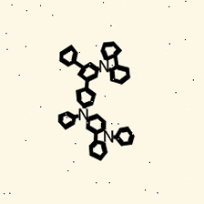 c1ccc(-c2cc(-c3ccc(N(c4ccccc4)c4ccc5c(c4)c4ccccc4n5-c4ccccc4)cc3)cc(-n3c4ccccc4c4ccccc43)c2)cc1